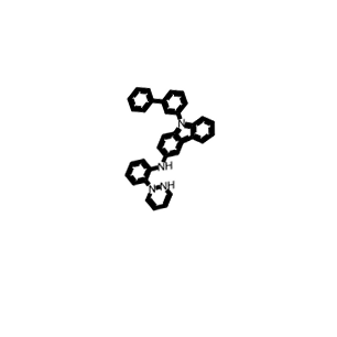 C1=CNN(c2ccccc2Nc2ccc3c(c2)c2ccccc2n3-c2cccc(-c3ccccc3)c2)C=C1